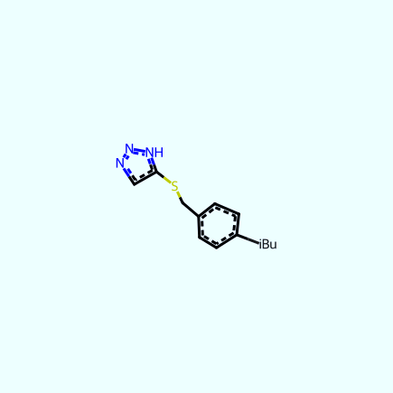 CCC(C)c1ccc(CSc2cnn[nH]2)cc1